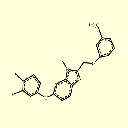 Cc1ccc(Oc2ccc3nc(COc4cccc(C(=O)O)c4)n(C)c3n2)cc1F